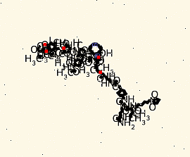 CCC(C)[C@H](NC(=O)CCCCCN1C(=O)C=CC1=O)C(=O)N[C@@H](CCCNC(N)=O)C(=O)Nc1ccc(COC(=O)NCCNC(=O)CCC(C)(C)SSC/C=C2\C3=C(NC(=O)OC)C(=O)C[C@@]2(O)C#C/C=C\C#C[C@@H]3OC2OC(C)C(NOC3CC(O)C(SC(=O)c4c(C)c(I)c(OC5OC6OC6C(OC)C5O)c(OC)c4OC)C(C)O3)C(O)C2OC2CC(OC)C(NC(C)=O)CO2)cc1